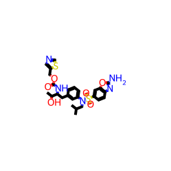 CC(C)CN(c1cccc(CC(NC(=O)OCc2cncs2)C(C)O)c1)S(=O)(=O)c1ccc2nc(N)oc2c1